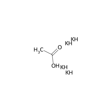 CC(=O)O.[KH].[KH].[KH].[KH]